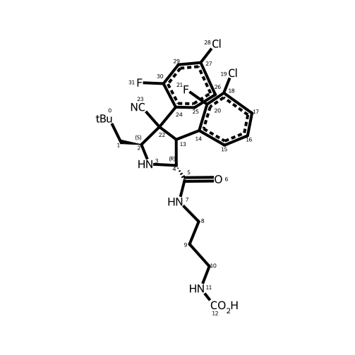 CC(C)(C)C[C@@H]1N[C@@H](C(=O)NCCCNC(=O)O)C(c2cccc(Cl)c2F)C1(C#N)c1ccc(Cl)cc1F